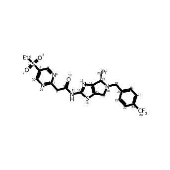 CCS(=O)(=O)c1cnc(CC(=O)Nc2nc3c(s2)CN(Cc2ccc(C(F)(F)F)cc2)[C@@H]3C(C)C)nc1